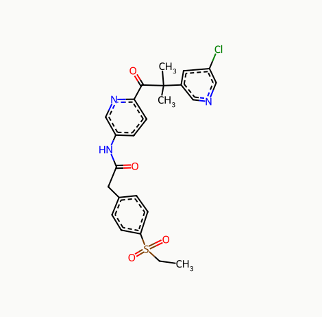 CCS(=O)(=O)c1ccc(CC(=O)Nc2ccc(C(=O)C(C)(C)c3cncc(Cl)c3)nc2)cc1